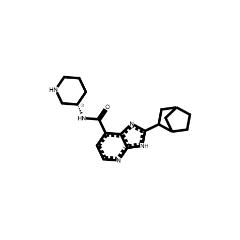 O=C(N[C@H]1CCCNC1)c1ccnc2[nH]c(C3CC4CCC3C4)nc12